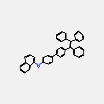 IN(c1ccc(-c2ccc(C(=C(c3ccccc3)c3ccccc3)c3ccccc3)cc2)cc1)c1cccc2ccccc12